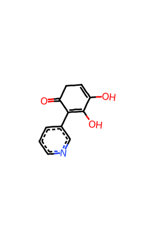 O=C1CC=C(O)C(O)=C1c1cccnc1